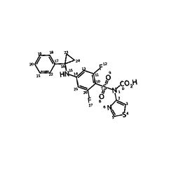 O=C(O)N(c1cscn1)S(=O)(=O)c1c(F)cc(NC2(c3ccccc3)CC2)cc1F